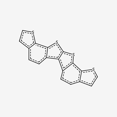 c1cc2ccc3c(sc4sc5c(ccc6ccsc65)c43)c2s1